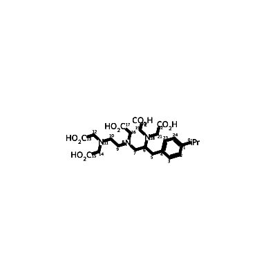 CC(C)c1ccc(CC(CN(CCN(CC(=O)O)CC(=O)O)CC(=O)O)N(CC(=O)O)CC(=O)O)cc1